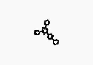 C1=CC(c2ccc(-c3cc(-c4ccccc4)nc(-c4ccccc4)n3)cc2)=CCC1